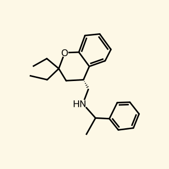 CCC1(CC)C[C@@H](CNC(C)c2ccccc2)c2ccccc2O1